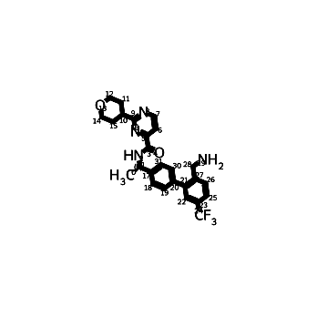 C[C@@H](NC(=O)c1ccnc(C2CCOCC2)n1)c1ccc(-c2cc(C(F)(F)F)ccc2CN)cc1